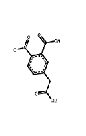 O=C(O)Cc1ccc([N+](=O)[O-])c(C(=O)O)c1